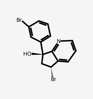 O[C@]1(c2cccc(Br)c2)C[C@@H](Br)c2cccnc21